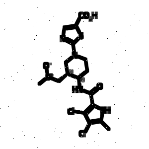 Cc1[nH]c(C(=O)N[C@@H]2CCN(c3ncc(C(=O)O)s3)C[C@@H]2C[S+](C)[O-])c(Cl)c1Cl